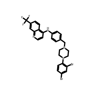 FC(F)(F)c1ccc2c(Nc3ccc(CN4CCN(c5ccc(Br)cc5Br)CC4)cc3)ccnc2c1